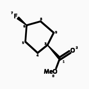 COC(=O)[C@H]1CC[C@@H](F)CC1